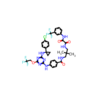 CC(C)(CNC(=O)C(=O)Nc1cccc(C(F)(F)F)c1)CNC(=O)c1ccc(Nc2nc(NC3(c4ccc(Cl)cc4)CC3)nc(OCC(F)(F)F)n2)cc1